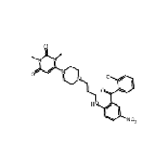 Cn1c(N2CCN(CCCNc3ccc([N+](=O)[O-])cc3C(=O)c3ccccc3Cl)CC2)cc(=O)n(C)c1=O